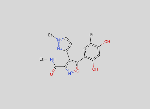 CCNC(=O)c1noc(-c2cc(C(C)C)c(O)cc2O)c1-c1ccn(CC)n1